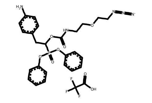 O=C(O)C(F)(F)F.[N-]=[N+]=NCCOCCNC(=O)OC(Cc1ccc(N)cc1)P(=O)(Oc1ccccc1)Oc1ccccc1